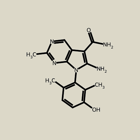 Cc1ncc2c(C(N)=O)c(N)n(-c3c(C)ccc(O)c3C)c2n1